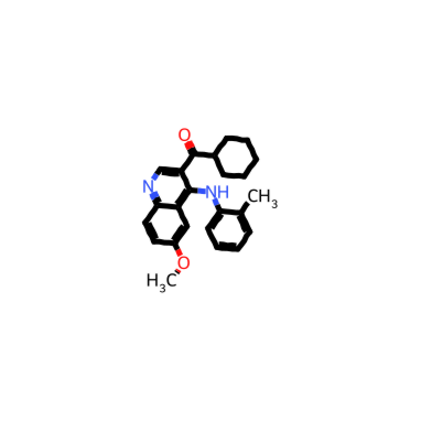 COc1ccc2ncc(C(=O)C3CCCCC3)c(Nc3ccccc3C)c2c1